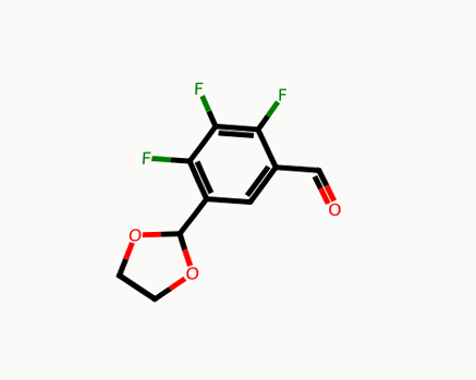 O=Cc1cc(C2OCCO2)c(F)c(F)c1F